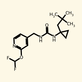 CC(C)(C)CC1(NC(=O)NCc2ccnc(OC(F)F)c2)CC1